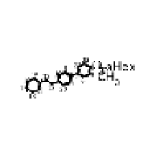 CCCCCC[C@H](C)Oc1ccc(-c2ccc(CCC3CC[CH]CC3)cc2)cc1